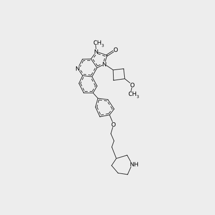 COC1CC(n2c(=O)n(C)c3cnc4ccc(-c5ccc(OCCCC6CCCNC6)cc5)cc4c32)C1